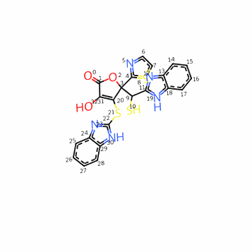 O=C1OC(c2nccs2)(C(S)c2nc3ccccc3[nH]2)C(Sc2nc3ccccc3[nH]2)=C1O